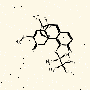 COC1=CC2[C@@H]3C=C4C=CC(=O)C(O[Si](C)(C)C(C)(C)C)=C4[C@]2(CCN3C)CC1=O